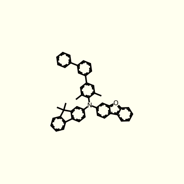 Cc1cc(-c2cccc(-c3ccccc3)c2)cc(C)c1N(c1ccc2c(c1)C(C)(C)c1ccccc1-2)c1ccc2c(c1)oc1ccccc12